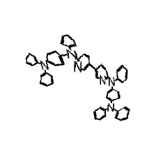 c1ccc(N(c2ccccc2)c2ccc(N(c3ccccc3)c3ccc(-c4ccc(N(c5ccccc5)c5ccc(N(c6ccccc6)c6ccccc6)cc5)nc4)cn3)cc2)cc1